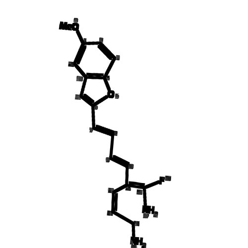 COc1ccc2oc(/C=C/C=C/C(/C=C\CN)=C(/N)F)cc2c1